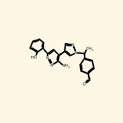 CC(c1ccc(C=O)cc1)n1cc(-c2cc(-c3ccccc3O)nnc2N)cn1